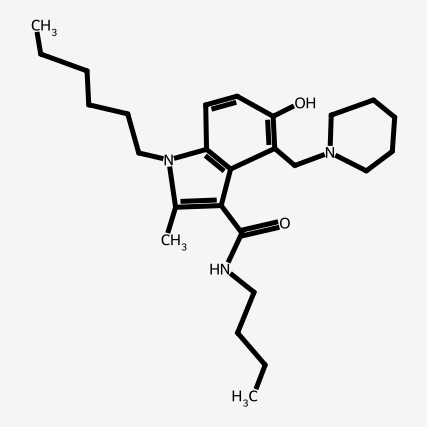 CCCCCCn1c(C)c(C(=O)NCCCC)c2c(CN3CCCCC3)c(O)ccc21